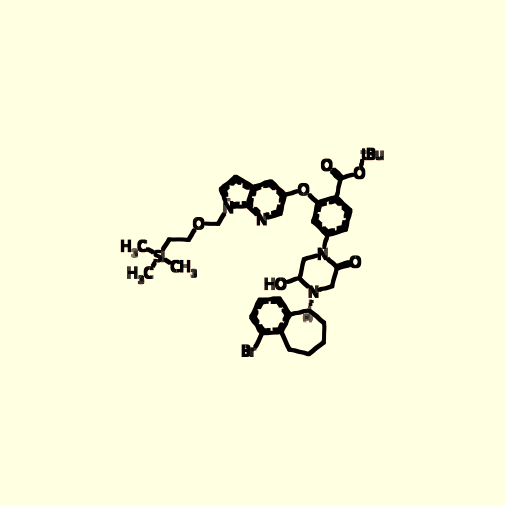 CC(C)(C)OC(=O)c1ccc(N2CC(O)N([C@@H]3CCCCc4c(Br)cccc43)CC2=O)cc1Oc1cnc2c(ccn2COCC[Si](C)(C)C)c1